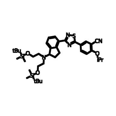 CC(C)Oc1ccc(-c2nc(-c3cccc4c3CCC4N(CCO[Si](C)(C)C(C)(C)C)CCO[Si](C)(C)C(C)(C)C)ns2)cc1C#N